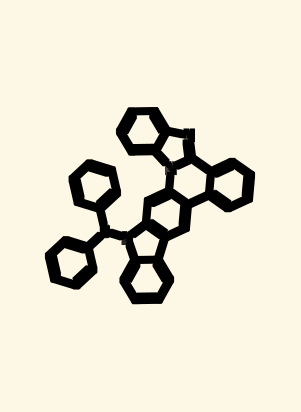 c1ccc(B(c2ccccc2)n2c3ccccc3c3cc4c5ccccc5c5nc6ccccc6n5c4cc32)cc1